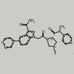 CN(C(=O)[C@@H]1C[C@@H](F)CN1C(=O)Cn1nc(C(N)=O)c2cc(-c3ccnnc3)ccc21)c1ccncc1